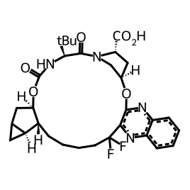 CC(C)(C)[C@@H]1NC(=O)O[C@@H]2CC3C[C@@H]3[C@H]2CCCCC(F)(F)c2nc3ccccc3nc2O[C@@H]2C[C@@H](C(=O)O)N(C2)C1=O